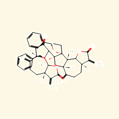 C=C1CC[C@H]2C(=C)C(=O)O[C@@H]2C2[C@H]1CC(=O)[C@]21CC[C@]2(OCc3ccccc3)[C@@H]3[C@H]4OC(=O)C(=C)[C@@H]4CCC(=C)[C@@H]3C[C@@]21OCc1ccccc1